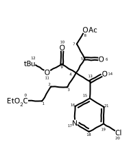 CCOC(=O)CCCC(C(=O)COC(C)=O)(C(=O)OC(C)(C)C)C(=O)c1cncc(Cl)c1